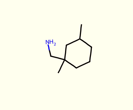 CC1CCCC(C)(CN)C1